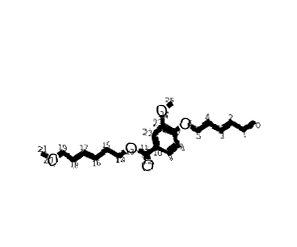 CCCCCCOc1ccc(C(=O)OCCCCCCOC)cc1OC